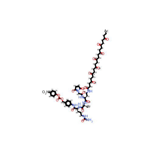 CC(=O)CCC(=O)CCC(=O)CCC(=O)CCC(=O)CCC(=O)CCC(=O)CCC(=O)CCC(=O)NCC[C@H](NC(=O)CN1C(=O)C=CC1=O)C(=O)N[C@H](C(=O)N[C@@H](CCCNC(N)=O)C(=O)Nc1ccc(COC(=O)Oc2ccc([N+](=O)[O-])cc2)cc1)C(C)C